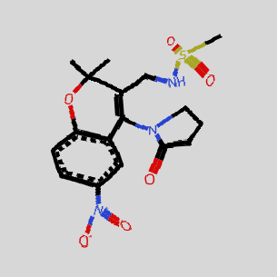 CC1(C)Oc2ccc([N+](=O)[O-])cc2C(N2CCCC2=O)=C1CNS(C)(=O)=O